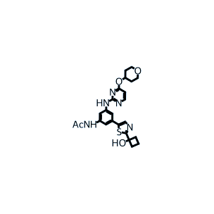 CC(=O)Nc1cc(Nc2nccc(OC3CCOCC3)n2)cc(-c2cnc(C3(O)CCC3)s2)c1